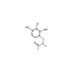 CC(=O)C(C)Cc1ccc(O)c(Cl)c1O